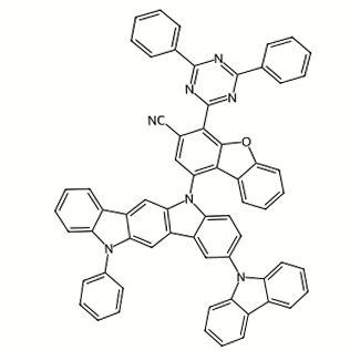 N#Cc1cc(-n2c3ccc(-n4c5ccccc5c5ccccc54)cc3c3cc4c(cc32)c2ccccc2n4-c2ccccc2)c2c(oc3ccccc32)c1-c1nc(-c2ccccc2)nc(-c2ccccc2)n1